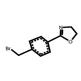 BrCc1ccc(C2=NCCO2)cc1